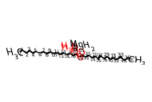 CCCCCCCCCCCCCCCCCC(=O)OC(=O)CCCCCCCCCCCCCCC.O.O.[MgH2]